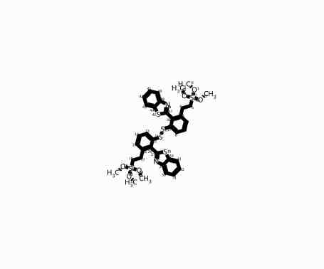 CO[Si](CCc1cccc(SSc2cccc(CC[Si](OC)(OC)OC)c2-c2nc3ccccc3s2)c1-c1nc2ccccc2s1)(OC)OC